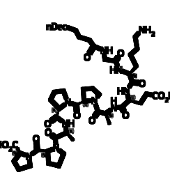 CCCCCCCCCCCCCC(=O)NCC(=O)N[C@@H](CCCCN)C(=O)N[C@@H](CCC(=O)O)C(=O)N[C@@H](C)C(=O)N1CCC[C@H]1C(=O)N1CCC[C@H]1C(=O)N[C@@H](C)C(=O)N1CCC[C@H]1C(=O)N1CCC[C@H]1C(=O)O